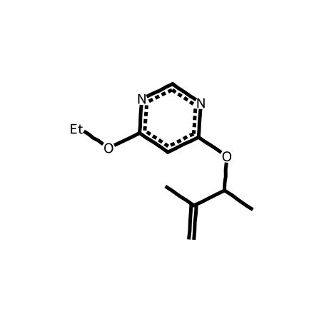 C=C(C)C(C)Oc1cc(OCC)ncn1